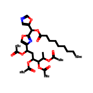 CCCCCCCCCCCCCCCCCC(=O)OC(c1cnco1)c1nc(C(CC(OC(=O)CCCC)C(OC(=O)CCCC)C(C)OC(=O)CCCC)OC(=O)CCCC)co1